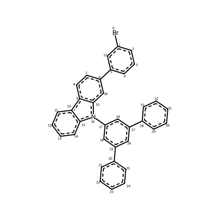 Brc1cccc(-c2ccc3c4ccccc4n(-c4cc(-c5ccccc5)cc(-c5ccccc5)c4)c3c2)c1